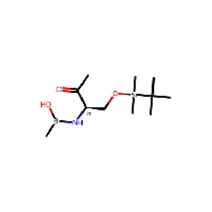 CB(O)N[C@H](CO[Si](C)(C)C(C)(C)C)C(C)=O